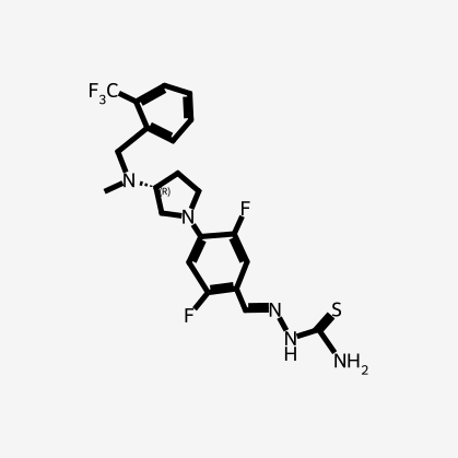 CN(Cc1ccccc1C(F)(F)F)[C@@H]1CCN(c2cc(F)c(C=NNC(N)=S)cc2F)C1